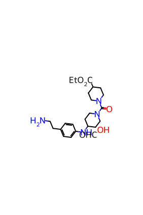 CCOC(=O)C1CCN(C(=O)N2CCC(Nc3ccc(CCN)cc3)CC2)CC1.O=CO